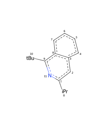 CC(C)c1cc2ccccc2c(C(C)(C)C)n1